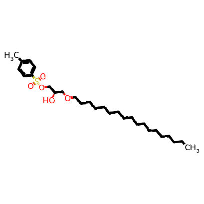 CCCCCCCCCCCCCCCCCCOC[C@@H](O)COS(=O)(=O)c1ccc(C)cc1